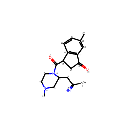 CCCC(=N)CC1CN(C)CCN1C(=O)C1CC(=O)c2cc(C)ccc21